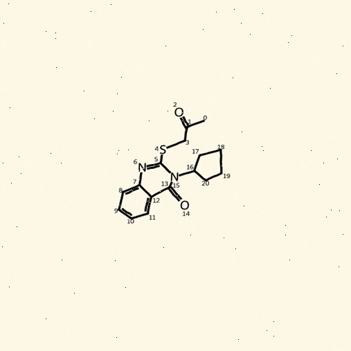 CC(=O)CSc1nc2ccccc2c(=O)n1C1CCCC1